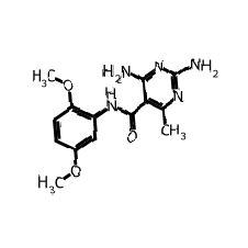 COc1ccc(OC)c(NC(=O)c2c(C)nc(N)nc2N)c1